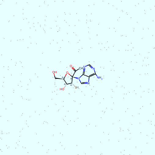 CC(=O)[C@@]1(n2cnc3c(N)ncnc32)O[C@H](CO)[C@@H](O)[C@H]1S